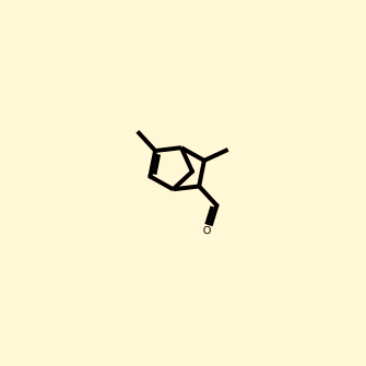 CC1=CC2CC1C(C)C2C=O